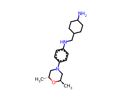 C[C@@H]1CN(c2ccc(NCC3CCC(N)CC3)cc2)C[C@@H](C)O1